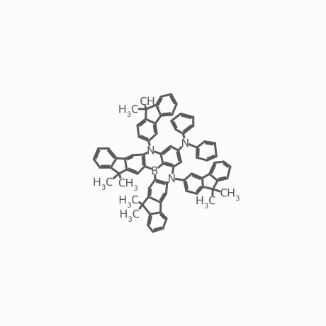 CC1(C)c2ccccc2-c2cc(N3c4cc5c(cc4B4c6cc7c(cc6N(c6ccc8c(c6)-c6ccccc6C8(C)C)c6cc(N(c8ccccc8)c8ccccc8)cc3c64)-c3ccccc3C7(C)C)C(C)(C)c3ccccc3-5)ccc21